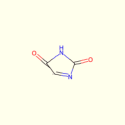 O=C1[C]=NC(=O)N1